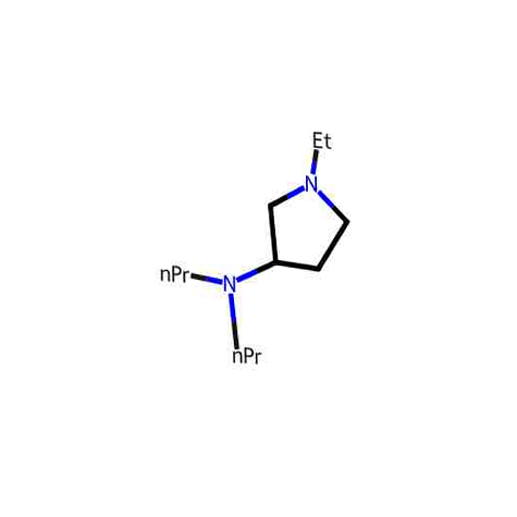 CCCN(CCC)C1CCN(CC)C1